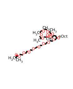 C=C(C)C(=O)OCCOCCOCCOCCOCCOCCOCCOCC(CC(CO)OCC(C)OCC(C)OCC(C)OCC(C)OCC(C)O)OCCCCCCCC